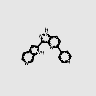 c1cc(-c2ccc3[nH]nc(-c4cc5ccncc5[nH]4)c3n2)ccn1